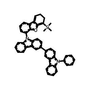 C[Si](C)(C)C1=c2oc3c(-n4c5ccccc5c5cc(-c6ccc7c(c6)c6ccccc6n7-c6ccccc6)ccc54)cccc3c2=CCC1